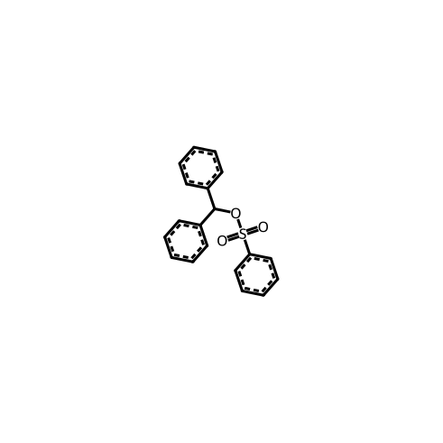 O=S(=O)(OC(c1ccccc1)c1ccccc1)c1ccccc1